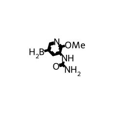 Bc1cnc(OC)c(NC(N)=O)c1